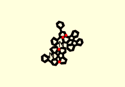 c1ccc(-c2cccc(-c3ccccc3N(c3ccc4c(c3)C3(c5ccccc5-c5ccccc53)c3ccccc3-4)c3ccc4c(c3)C3(c5ccccc5-4)c4ccccc4-n4c5ccccc5c5cccc3c54)c2)cc1